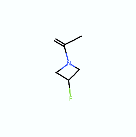 C=C(C)N1CC(F)C1